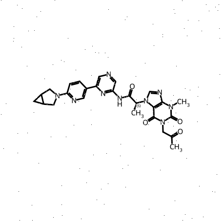 CC(=O)Cn1c(=O)c2c(ncn2[C@@H](C)C(=O)Nc2cncc(-c3ccc(N4CC5CC5C4)nc3)n2)n(C)c1=O